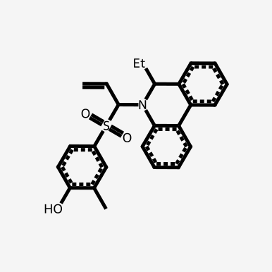 C=CC(N1c2ccccc2-c2ccccc2C1CC)S(=O)(=O)c1ccc(O)c(C)c1